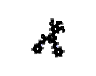 COc1cc([C@H](CNC(=O)/C=C/c2ccccc2)OC(=O)/C=C/c2ccccc2)cc(OC)c1OC